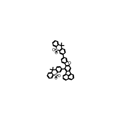 CC1(C)c2ccccc2S(=O)(=O)c2cc(-c3ccc4c(c3)oc3cc5c(c(-c6ccc7c(c6)S(=O)(=O)c6ccccc6C7(C)C)c34)-c3cccc4cccc-5c34)ccc21